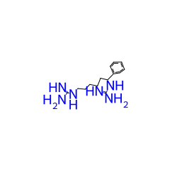 N=C(N)NCCCCCC(NC(=N)N)c1ccccc1